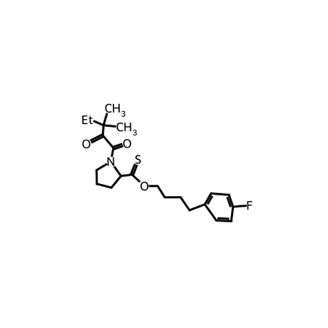 CCC(C)(C)C(=O)C(=O)N1CCCC1C(=S)OCCCCc1ccc(F)cc1